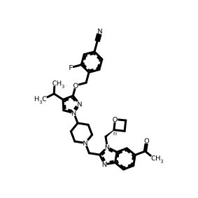 CC(=O)c1ccc2nc(CN3CCC(n4cc(C(C)C)c(OCc5ccc(C#N)cc5F)n4)CC3)n(C[C@@H]3CCO3)c2c1